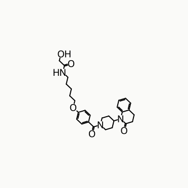 O=C(CO)NCCCCCOc1ccc(C(=O)N2CCC(N3C(=O)CCc4ccccc43)CC2)cc1